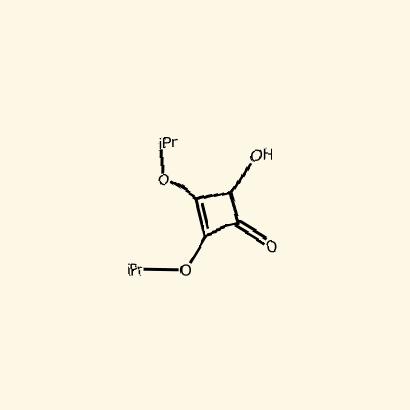 CC(C)OC1=C(OC(C)C)C(O)C1=O